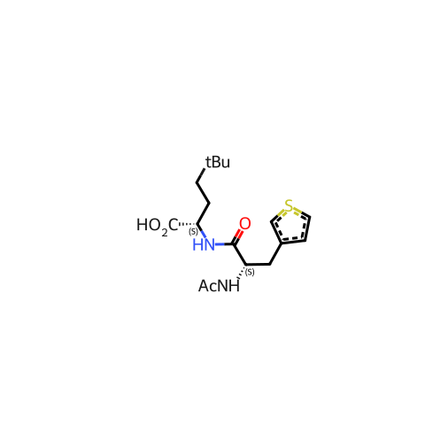 CC(=O)N[C@@H](Cc1ccsc1)C(=O)N[C@@H](CCC(C)(C)C)C(=O)O